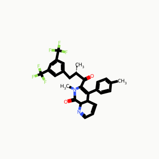 Cc1ccc(C2=C(C(=O)[C@@H](C)Cc3cc(C(F)(F)F)cc(C(F)(F)F)c3)N(C)C(=O)C3N=CC=CC23)cc1